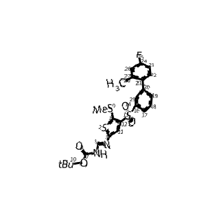 CSc1sc(/N=C/NC(=O)OC(C)(C)C)cc1S(=O)(=O)c1cccc(-c2ccc(F)cc2C)c1